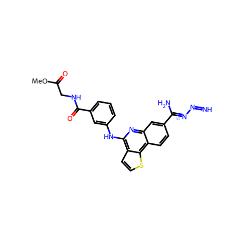 COC(=O)CNC(=O)c1cccc(Nc2nc3cc(/C(N)=N/N=N)ccc3c3sccc23)c1